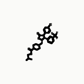 CC(C)COC(=O)N1CCN(C[C@@H]2OC(=O)N(c3ccc(Cl)cc3)[C@H]2c2cccc(C(F)(F)F)c2)CC1